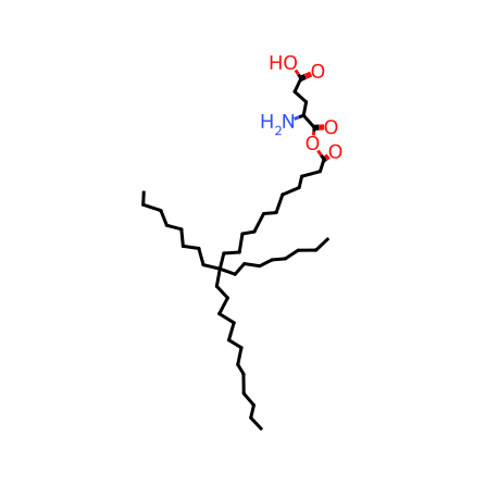 CCCCCCCCCCCCC(CCCCCCCC)(CCCCCCCC)CCCCCCCCCCC(=O)OC(=O)C(N)CCC(=O)O